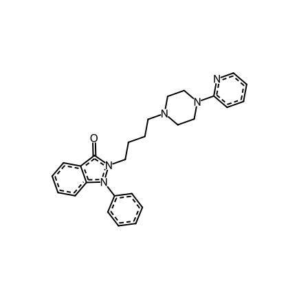 O=c1c2ccccc2n(-c2ccccc2)n1CCCCN1CCN(c2ccccn2)CC1